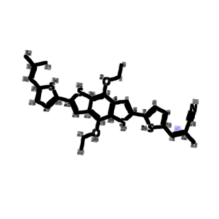 CCOc1c2cc(-c3ccc(/C=C(/C)C#N)s3)sc2c(OCC)c2cc(-c3ccc(C=C(C)C)s3)sc12